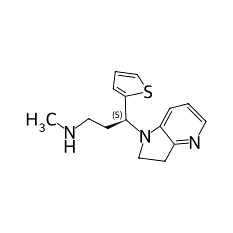 CNCC[C@@H](c1cccs1)N1CCc2ncccc21